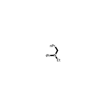 CCCCN(CC)[C](C)C